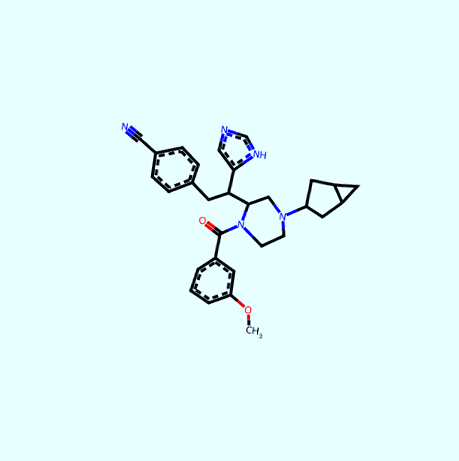 COc1cccc(C(=O)N2CCN(C3CC4CC4C3)CC2C(Cc2ccc(C#N)cc2)c2cnc[nH]2)c1